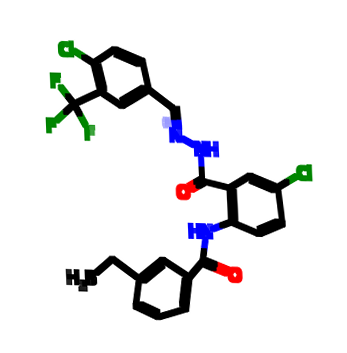 BCc1cccc(C(=O)Nc2ccc(Cl)cc2C(=O)N/N=C/c2ccc(Cl)c(C(F)(F)F)c2)c1